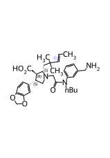 C/C=C/C(C)(C)C[C@H]1[C@H](C(=O)O)[C@@H](c2ccc3c(c2)OCO3)CN1CC(=O)N(CCCC)c1cccc(CN)c1